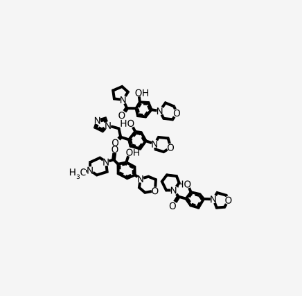 CN1CCN(C(=O)c2ccc(N3CCOCC3)cc2O)CC1.O=C(Cn1ccnc1)c1ccc(N2CCOCC2)cc1O.O=C(c1ccc(N2CCOCC2)cc1O)N1CCCC1.O=C(c1ccc(N2CCOCC2)cc1O)N1CCCCC1